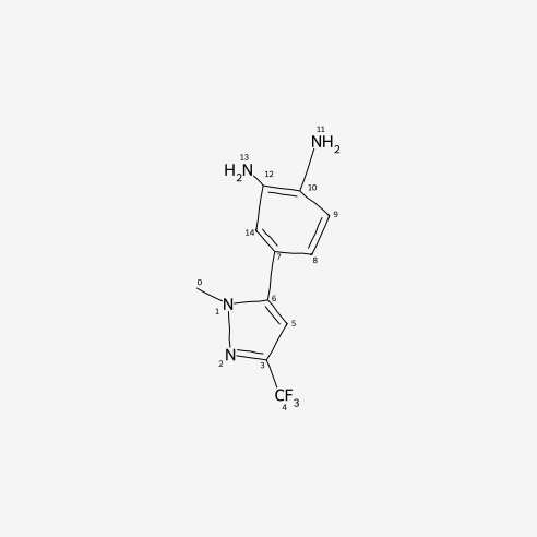 Cn1nc(C(F)(F)F)cc1-c1ccc(N)c(N)c1